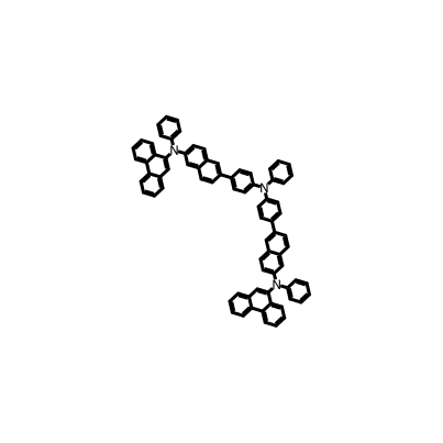 c1ccc(N(c2ccc(-c3ccc4cc(N(c5ccccc5)c5cc6ccccc6c6ccccc56)ccc4c3)cc2)c2ccc(-c3ccc4cc(N(c5ccccc5)c5cc6ccccc6c6ccccc56)ccc4c3)cc2)cc1